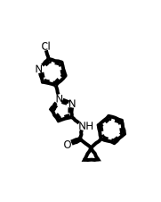 O=C(Nc1ccn(-c2ccc(Cl)nc2)n1)C1(c2ccccc2)CC1